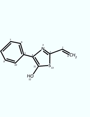 C=Cc1nc(-c2ccccc2)c(O)s1